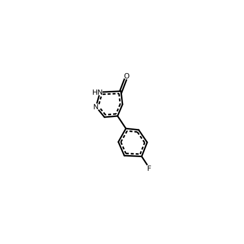 O=c1cc(-c2ccc(F)cc2)cn[nH]1